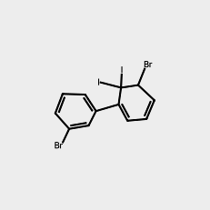 Brc1cccc(C2=CC=CC(Br)C2(I)I)c1